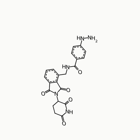 NNc1ccc(C(=O)NCc2cccc3c2C(=O)N(C2CCC(=O)NC2=O)C3=O)cc1